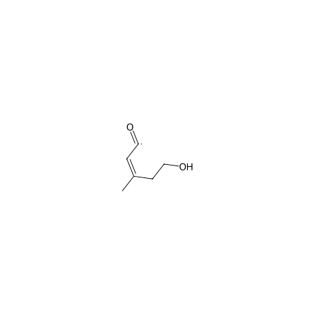 CC(=C[C]=O)CCO